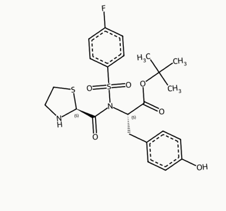 CC(C)(C)OC(=O)[C@H](Cc1ccc(O)cc1)N(C(=O)[C@H]1NCCS1)S(=O)(=O)c1ccc(F)cc1